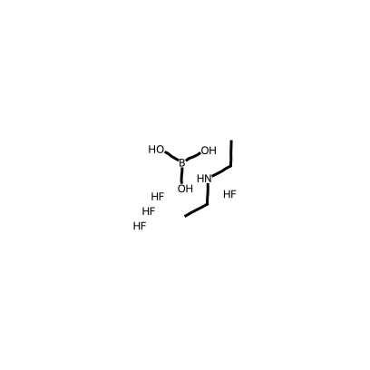 CCNCC.F.F.F.F.OB(O)O